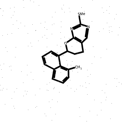 CSc1n[c]c2c(n1)OC(c1cccc3cccc(C)c13)CC2